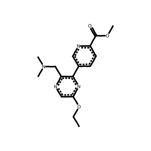 CCOc1cnc(CN(C)C)c(-c2ccc(C(=O)OC)nc2)n1